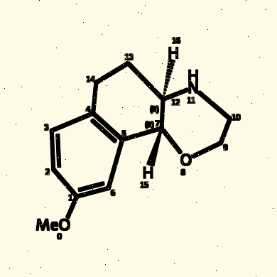 COc1ccc2c(c1)[C@H]1OCCN[C@@H]1CC2